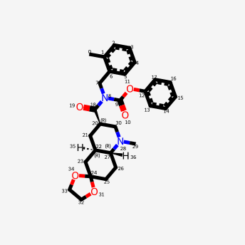 Cc1ccccc1CN(C(=O)Oc1ccccc1)C(=O)[C@@H]1C[C@@H]2CC3(CC[C@H]2N(C)C1)OCCO3